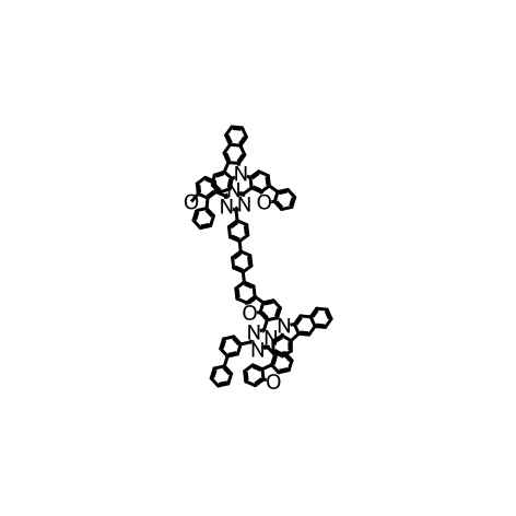 c1ccc(-c2cccc(-c3nc(-c4c(-n5c6ccccc6c6cc7ccccc7cc65)ccc5c4oc4ccc(-c6ccc(-c7ccc(-c8nc(-c9c(-n%10c%11ccccc%11c%11cc%12ccccc%12cc%11%10)ccc%10c9oc9ccccc9%10)nc(-c9cccc%10oc%11ccccc%11c9%10)n8)cc7)cc6)cc45)nc(-c4cccc5oc6ccccc6c45)n3)c2)cc1